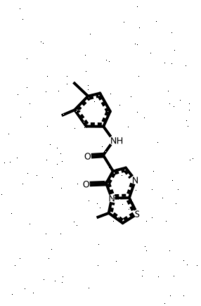 Cc1ccc(NC(=O)c2cnc3scc(C)n3c2=O)cc1C